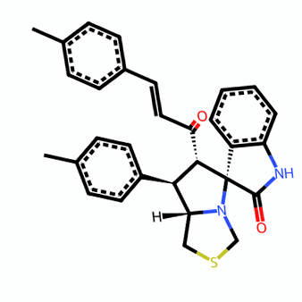 Cc1ccc(/C=C/C(=O)[C@H]2[C@H](c3ccc(C)cc3)[C@H]3CSCN3[C@]23C(=O)Nc2ccccc23)cc1